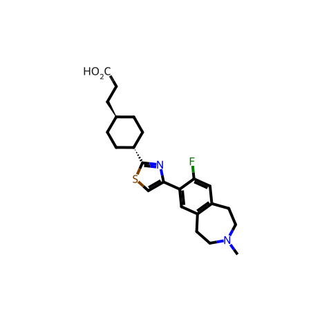 CN1CCc2cc(F)c(-c3csc([C@H]4CC[C@H](CCC(=O)O)CC4)n3)cc2CC1